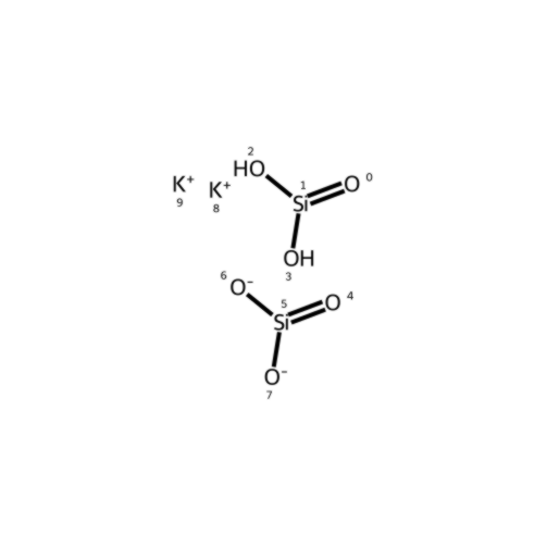 O=[Si](O)O.O=[Si]([O-])[O-].[K+].[K+]